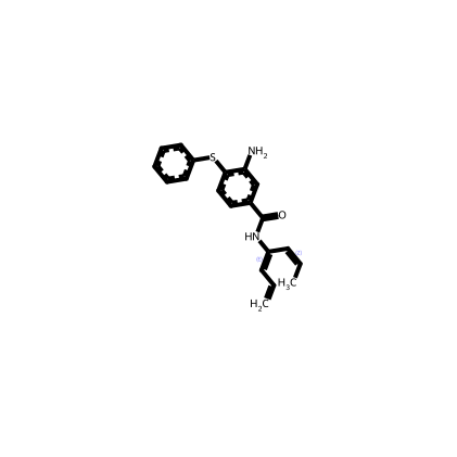 C=C/C=C(\C=C/C)NC(=O)c1ccc(Sc2ccccc2)c(N)c1